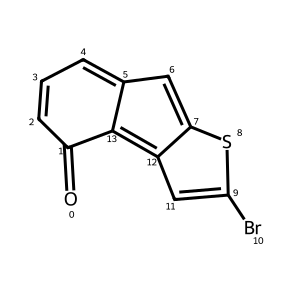 O=C1C=CC=C2C=c3sc(Br)cc3=C12